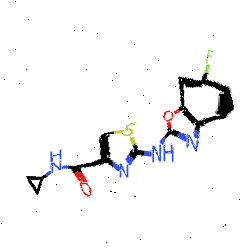 O=C(NC1CC1)c1csc(Nc2nc3ccc(F)cc3o2)n1